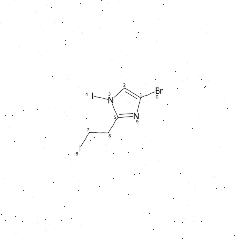 Brc1cn(I)c(CCI)n1